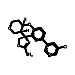 NC1=N[C@@]2(CO1)c1cc(-c3cncc(Cl)c3)ccc1O[C@H]1CCOC[C@H]12